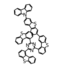 c1ccc2c(c1)sc1cccc(-c3nc(-c4cccc5sc6ccccc6c45)nc(-c4cccc5sc6ccc(-c7ccc8c(c7)sc7cc(-n9c%10ccccc%10c%10ccccc%109)ccc78)cc6c45)n3)c12